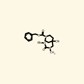 CN(CC1(C#N)CCN(C(=O)OCc2ccccc2)CC1)C(=O)OC(C)(C)C